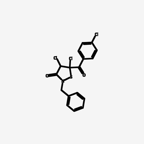 O=C1C(Cl)C(Cl)(C(=O)c2ccc(Cl)cc2)SN1Cc1ccccc1